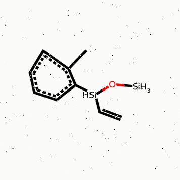 C=C[SiH](O[SiH3])c1ccccc1C